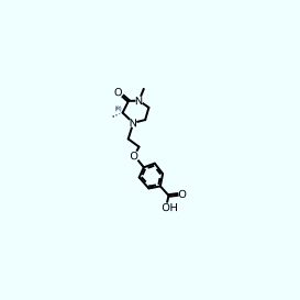 C[C@@H]1C(=O)N(C)CCN1CCOc1ccc(C(=O)O)cc1